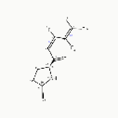 C=C(/C=C(F)\C(F)=C(/C)F)[C@@H]1CC[C@H](C)N1